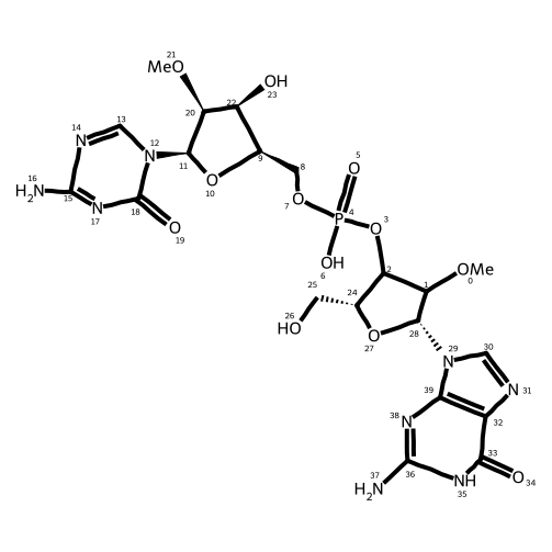 COC1C(OP(=O)(O)OC[C@H]2O[C@@H](n3cnc(N)nc3=O)[C@@H](OC)[C@H]2O)[C@@H](CO)O[C@H]1n1cnc2c(=O)[nH]c(N)nc21